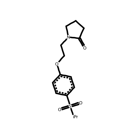 CC(C)S(=O)(=O)c1ccc(OCCN2CCCC2=O)cc1